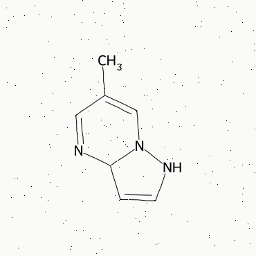 CC1=CN2NC=CC2N=C1